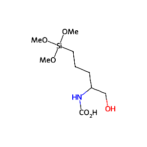 CO[Si](CCCC(CO)NC(=O)O)(OC)OC